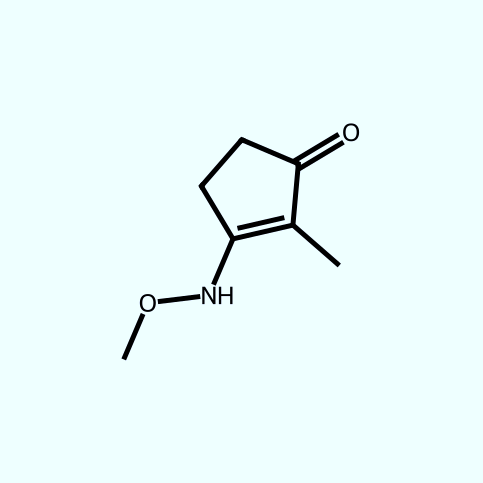 CONC1=C(C)C(=O)CC1